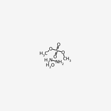 COS(=O)(=O)OC.NN.O